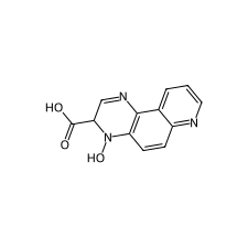 O=C(O)C1C=Nc2c(ccc3ncccc23)N1O